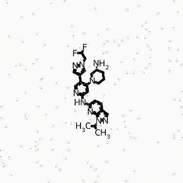 CC(C)n1ncc2ccc(Nc3cc(N4CCC[C@H](N)C4)c(-c4cnn(CC(F)F)c4)cn3)nc21